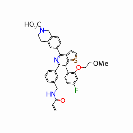 C=CC(=O)NCc1cccc(-c2nc(-c3ccc4c(c3)CCN(C(=O)O)C4)c3ccsc3c2-c2ccc(F)cc2OCCOC)c1